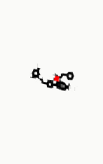 CC(=O)N1CC2CC(c3ccc(CCOc4cc(F)ccc4F)cc3)=C(C(=O)N(C)CCc3ccccc3)C(C1)N2